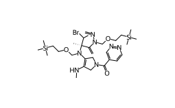 C=NN(COCC[Si](C)(C)C)C(=C)[C@](C)(C(C)Br)N(COCC[Si](C)(C)C)C1=C(NC)CN(C(=O)c2ccnnc2)C1